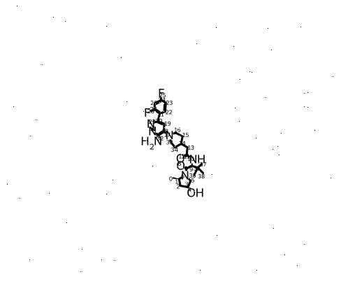 C[C@@H]1C[C@@H](O)CN1C(=O)[C@@H](NC(=O)CC1CCN(c2cc(-c3ccc(F)cc3F)nnc2N)CC1)C(C)(C)C